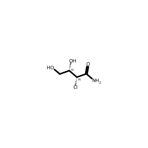 NC(=O)[C@H](Cl)[C@@H](O)CO